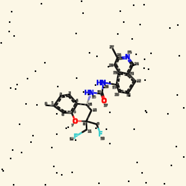 Cc1ccc2c(c1)OC(CF)(CF)C[C@H]2NC(=O)Nc1cccc2cnc(C)cc12